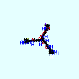 N=C1N[C@H]2[C@H](CS[C@H]2CCCCNC(=O)CCCCCC(=O)Nc2cc(NC(=O)CCCCCC(=O)NCCCC[C@@H]3SC[C@@H]4NC(=N)N[C@@H]43)cc(C(=O)NCCOCCOCCNC(=O)c3cccc(I)c3)c2)N1